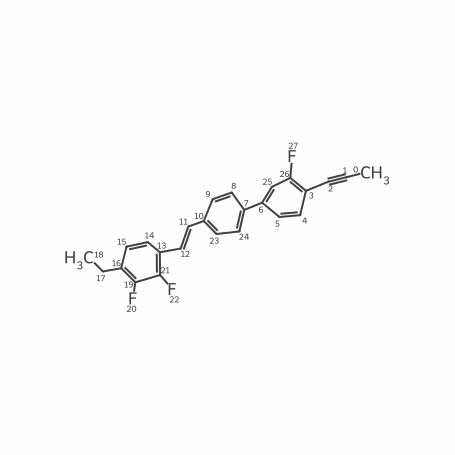 CC#Cc1ccc(-c2ccc(/C=C/c3ccc(CC)c(F)c3F)cc2)cc1F